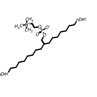 CCCCCCCCCCCCCCCCCCC(CCCCCCCCCCCCCCCCC)COP(=O)([O-])OCC[N+](C)(C)C